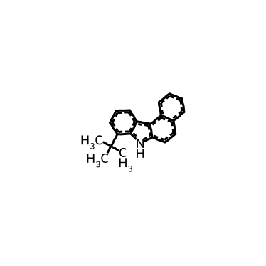 CC(C)(C)c1cccc2c1[nH]c1ccc3ccccc3c12